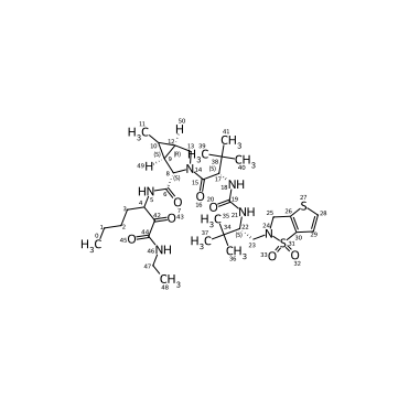 CCCCC(NC(=O)[C@@H]1[C@H]2C(C)[C@H]2CN1C(=O)[C@@H](NC(=O)N[C@H](CN1Cc2sccc2S1(=O)=O)C(C)(C)C)C(C)(C)C)C(=O)C(=O)NCC